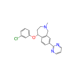 CN1CCC(Oc2cccc(Cl)c2)c2ccc(-c3ncccn3)cc2C1